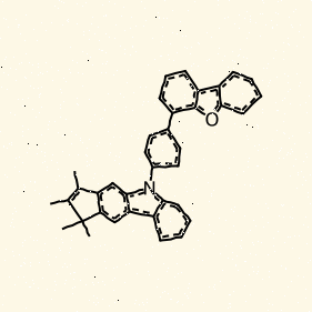 CC1=C(C)C(C)(C)c2cc3c4ccccc4n(-c4ccc(-c5cccc6c5oc5ccccc56)cc4)c3cc21